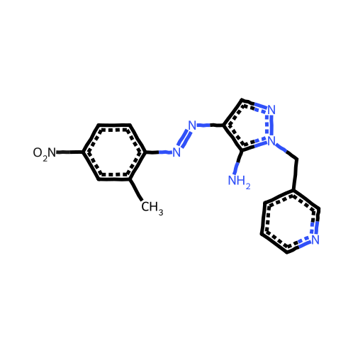 Cc1cc([N+](=O)[O-])ccc1N=Nc1cnn(Cc2cccnc2)c1N